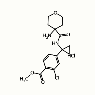 COC(=O)c1ccc(C2(NC(=O)C3(N)CCOCC3)CC2)cc1Cl.Cl